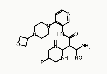 NC(N=O)C(C(=O)Nc1cnccc1N1CCN(C2COC2)CC1)C1NCC(F)CN1